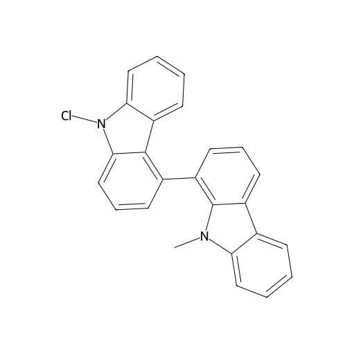 Cn1c2ccccc2c2cccc(-c3cccc4c3c3ccccc3n4Cl)c21